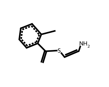 C=C(S/C=C\N)c1ccccc1C